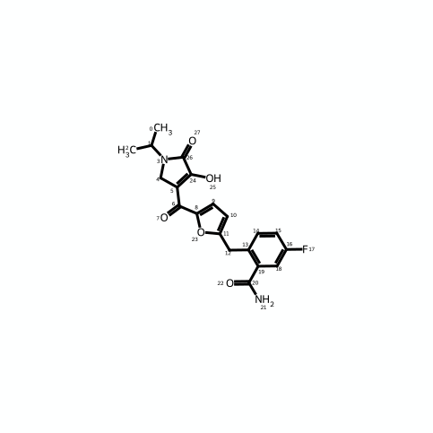 CC(C)N1CC(C(=O)c2ccc(Cc3ccc(F)cc3C(N)=O)o2)=C(O)C1=O